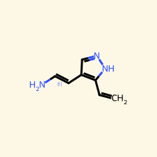 C=Cc1[nH]ncc1/C=C/N